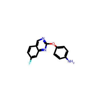 Nc1ccc(Oc2ncc3ccc(F)cc3n2)cc1